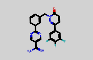 N=C(N)c1cnc(C2C=C(Cn3nc(-c4cc(F)c(F)c(F)c4)ccc3=O)C=CC2)nc1